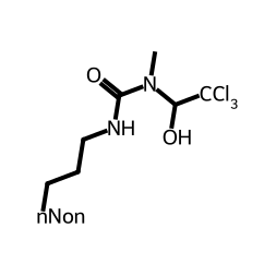 CCCCCCCCCCCCNC(=O)N(C)C(O)C(Cl)(Cl)Cl